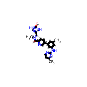 Cc1cc(Nc2nccc(C(F)(F)F)n2)cc(-c2ccc(C(=O)N(C)Cc3n[nH]c(=O)[nH]3)nc2)c1